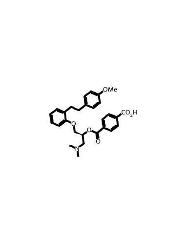 COc1ccc(CCc2ccccc2OC[C@H](CN(C)C)OC(=O)c2ccc(C(=O)O)cc2)cc1